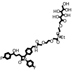 CCN(OCCOCC(=O)C(O)C(O)C(O)C(O)CO)C(=O)COCCOCC(=O)NCc1ccc(C2C(CCC(O)c3ccc(F)cc3)C(=O)N2c2ccc(F)cc2)cc1